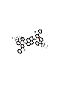 CC1(C)c2ccccc2-c2c(N(c3ccc(-c4ccccc4)c(F)c3)c3ccc4ccc5c(N(c6ccc(-c7ccccc7)c(F)c6)c6cccc7c6-c6ccccc6C7(C)C)ccc6ccc3c4c65)cccc21